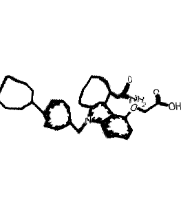 NC(=O)C1CCCCc2c1c1c(OCC(=O)O)cccc1n2Cc1ccc(C2CCCCCC2)cc1